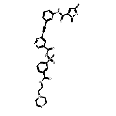 Cc1cc(C(=O)Nc2cccc(C#Cc3cncc(C(=O)N=S(C)(=O)c4cccc(C(=O)NCCN5CCOCC5)c4)c3)c2)n(C)n1